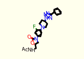 CC(=O)NCC1CN(c2ccc(N3CCC(n4nnc(-c5ccccc5)n4)CC3)c(F)c2)C(=O)O1